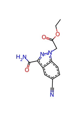 CCOC(=O)Cn1nc(C(N)=O)c2cc(C#N)ccc21